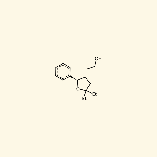 CCC1(CC)C[C@@H](CCO)[C@H](c2ccccc2)O1